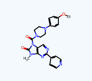 CCOc1ccc(N2CCN(C(=O)n3c(=O)n(C)c4nc(-c5ccncc5)ncc43)CC2)cc1